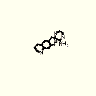 NC1N=CC=NC1(N)Cc1cc2cccnc2cc1F